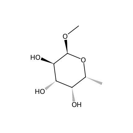 CO[C@H]1O[C@H](C)[C@H](O)[C@H](O)[C@H]1O